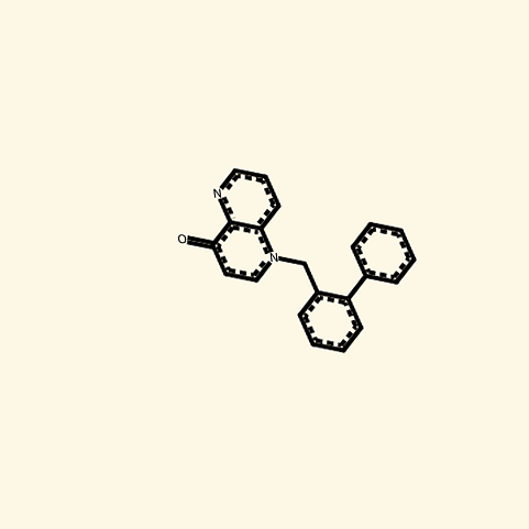 O=c1ccn(Cc2ccccc2-c2ccccc2)c2cccnc12